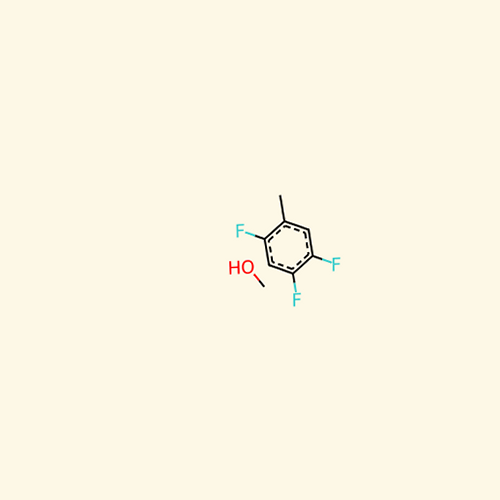 CO.Cc1cc(F)c(F)cc1F